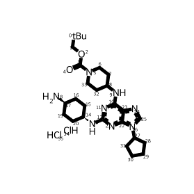 CC(C)(C)COC(=O)N1CCC(Nc2nc(N[C@H]3CC[C@H](N)CC3)nc3c2ncn3C2CCCC2)CC1.Cl.Cl